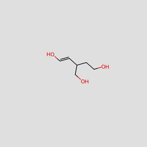 OC=CC(CO)CCO